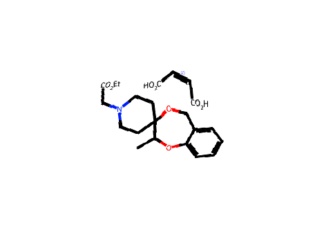 CCOC(=O)CN1CCC2(CC1)OCc1ccccc1OC2C.O=C(O)/C=C\C(=O)O